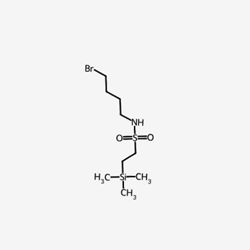 C[Si](C)(C)CCS(=O)(=O)NCCCCBr